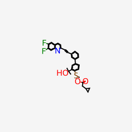 CC(C)(O)c1cc(-c2cccc(C#Cc3ccc4cc(F)c(F)cc4n3)c2)ccc1SCOC(=O)CC1CC1